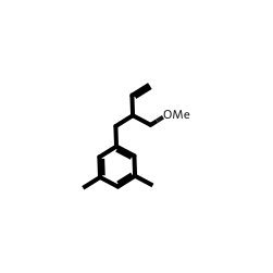 C=CC(COC)Cc1cc(C)cc(C)c1